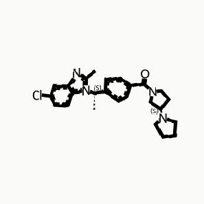 Cc1nc2cc(Cl)ccc2n1[C@@H](C)c1ccc(C(=O)N2CC[C@H](N3CCCC3)C2)cc1